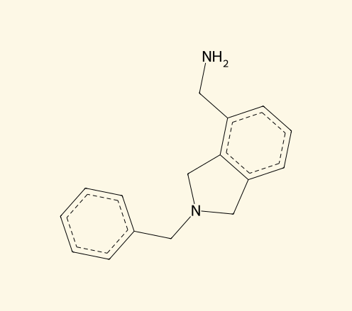 NCc1cccc2c1CN(Cc1ccccc1)C2